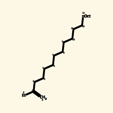 C=C(CC)CCCCCCCCCCCCCCCCCC